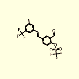 Cc1cc(/C=C/c2ccc(OS(=O)(=O)C(F)(F)F)c(C=O)c2)cc(C(F)(F)F)c1